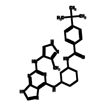 Cc1n[nH]cc1Nc1nc(NC2CCCC(NC(=O)c3ccc(C(C)(C)C)cc3)C2)c2nc[nH]c2n1